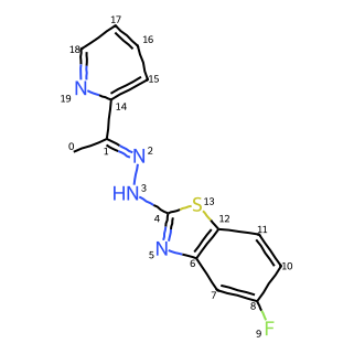 C/C(=N\Nc1nc2cc(F)ccc2s1)c1ccccn1